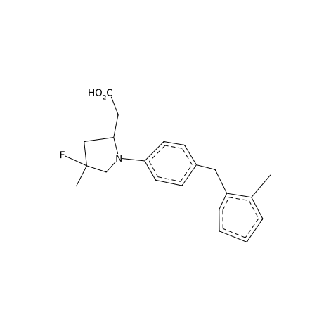 Cc1ccccc1Cc1ccc(N2CC(C)(F)CC2CC(=O)O)cc1